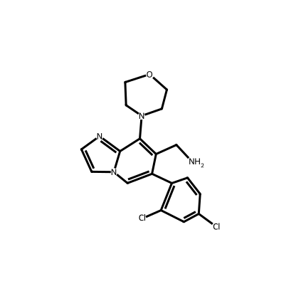 NCc1c(-c2ccc(Cl)cc2Cl)cn2ccnc2c1N1CCOCC1